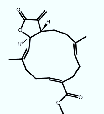 C=C1C(=O)O[C@@H]2/C=C(\C)CC/C=C(\C(=O)OC)CC/C=C(\C)CC[C@@H]12